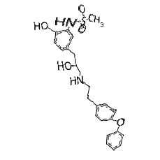 CS(=O)(=O)Nc1cc(C[C@H](O)CNCCc2ccc(Oc3ccccc3)cc2)ccc1O